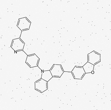 c1ccc(-c2ccnc(-c3ccc(-n4c5ccccc5c5cc(-c6ccc7oc8ccccc8c7c6)ccc54)cc3)c2)cc1